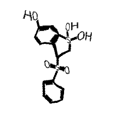 O=S(=O)(c1ccccc1)C1CS(O)(O)c2cc(O)ccc21